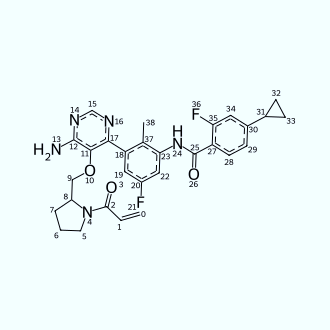 C=CC(=O)N1CCCC1COc1c(N)ncnc1-c1cc(F)cc(NC(=O)c2ccc(C3CC3)cc2F)c1C